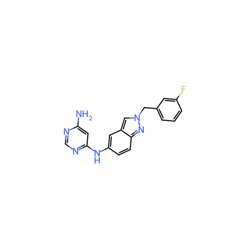 Nc1cc(Nc2ccc3nn(Cc4cccc(F)c4)cc3c2)ncn1